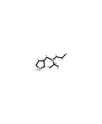 CCCN(CC1CCSC1)C(C)C